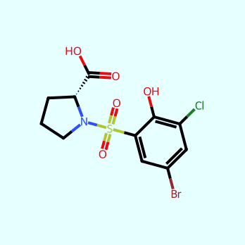 O=C(O)[C@H]1CCCN1S(=O)(=O)c1cc(Br)cc(Cl)c1O